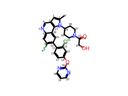 Cc1cc2cnc3cc(F)c(-c4ccc(Oc5ncccn5)cc4Cl)cc3c2n1C1CCN(C(=O)CO)CC1